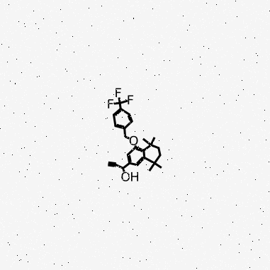 C#CC(O)c1cc(OCc2ccc(C(F)(F)F)cc2)c2c(c1)C(C)(C)CCC2(C)C